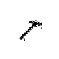 CC(C)(O)C(O)CCCCCCCCCCCCCCO